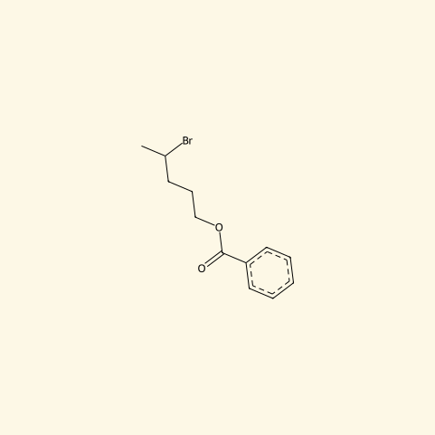 CC(Br)CCCOC(=O)c1ccccc1